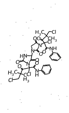 CC(C)(CCl)C(=O)C(Cl)(C(=O)Nc1ccccc1)N1C(=O)NC(N2CC(=O)N(C(Cl)(C(=O)Nc3ccccc3)C(=O)C(C)(C)CCl)C2=O)C1=O